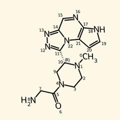 CN1CCN(C(=O)CN)C[C@@H]1c1nnc2cnc3[nH]ccc3n12